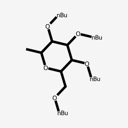 CCCCOCC1OC(C)C(OCCCC)C(OCCCC)C1OCCCC